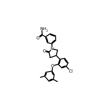 Cc1cc(C)cc(Oc2cc(Cl)ccc2C2CC(=O)N(c3cccc(C(N)=O)c3)C2)c1